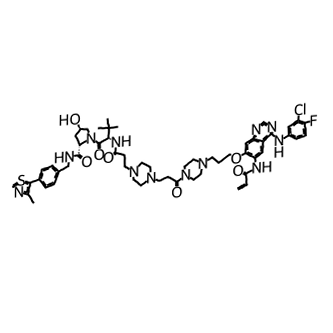 C=CC(=O)Nc1cc2c(Nc3ccc(F)c(Cl)c3)ncnc2cc1OCCCN1CCN(C(=O)CCN2CCN(CCC(=O)N[C@H](C(=O)N3C[C@H](O)C[C@H]3C(=O)NCc3ccc(-c4scnc4C)cc3)C(C)(C)C)CC2)CC1